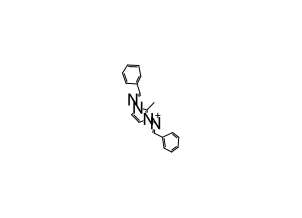 Cc1n(N=Cc2ccccc2)cc[n+]1N=Cc1ccccc1